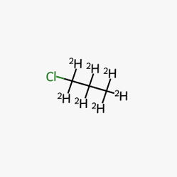 [2H]C([2H])([2H])C([2H])([2H])C([2H])([2H])Cl